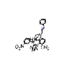 Cc1cccc(C)c1-n1nnnc1[C@H](c1cccc([N+](=O)[O-])c1)N1CCN(C/C=C/c2ccccc2)CC1